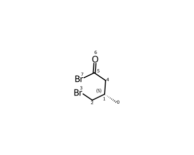 C[C@H](CBr)CC(=O)Br